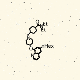 CCCCCCc1cc(OC2CCN(CC3CCC(C(=O)N(CC)CC)CC3)CC2)c2ncccc2c1